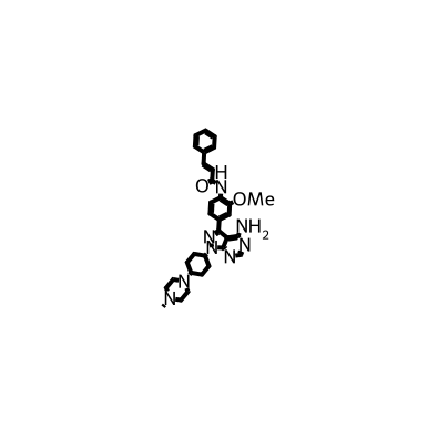 COc1cc(-c2nn(C3CCC(N4CCN(C)CC4)CC3)c3ncnc(N)c23)ccc1NC(=O)C=Cc1ccccc1